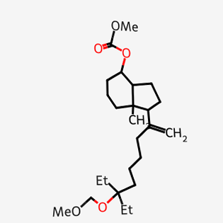 C=C(CCCCC(CC)(CC)OCOC)C1CCC2C(OC(=O)OC)CCCC12C